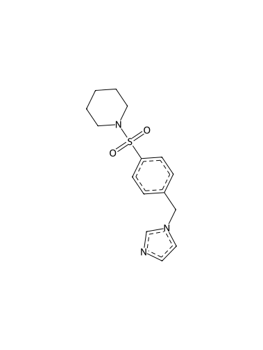 O=S(=O)(c1ccc(Cn2ccnc2)cc1)N1CCCCC1